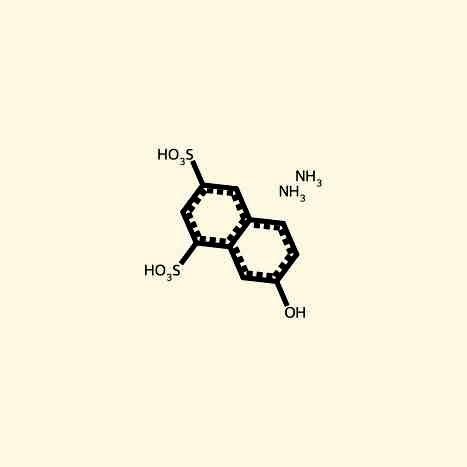 N.N.O=S(=O)(O)c1cc(S(=O)(=O)O)c2cc(O)ccc2c1